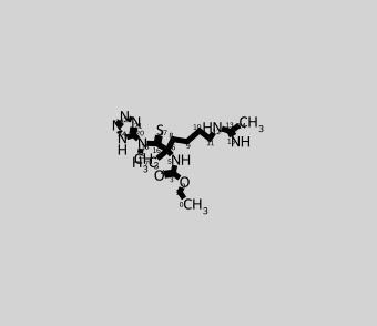 CCOC(=O)NC(C)(CCCCNC(C)=N)C(=S)N(C)c1nnn[nH]1